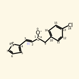 [O-][S+](/C=C/c1cccs1)Cc1ccc(Cl)cc1